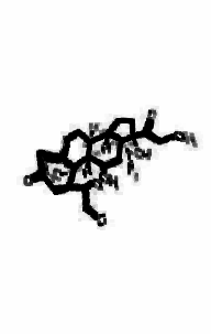 C[C@@]12C(=CC(=O)C=C1C(=O)CCl)CC[C@@H]1[C@@H]2C(O)C[C@@]2(C)[C@H]1CC[C@]2(O)C(=O)CO